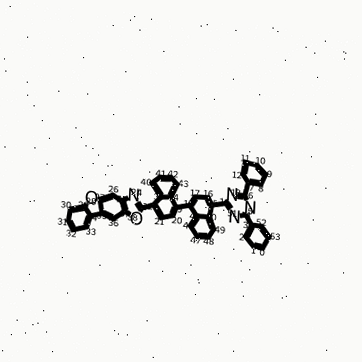 c1ccc(-c2nc(-c3ccccc3)nc(-c3ccc(-c4ccc(-c5nc6cc7oc8ccccc8c7cc6o5)c5ccccc45)c4ccccc34)n2)cc1